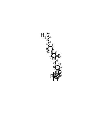 CCCCCC1CCC(c2ccc(CCc3ccc(OC(F)(F)C(F)C(F)(F)F)cc3)c(F)c2)CC1